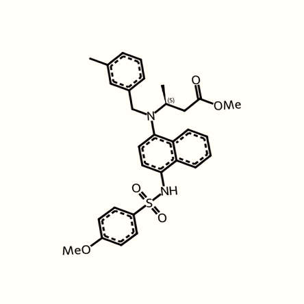 COC(=O)C[C@H](C)N(Cc1cccc(C)c1)c1ccc(NS(=O)(=O)c2ccc(OC)cc2)c2ccccc12